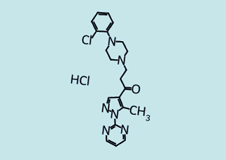 Cc1c(C(=O)CCN2CCN(c3ccccc3Cl)CC2)cnn1-c1ncccn1.Cl